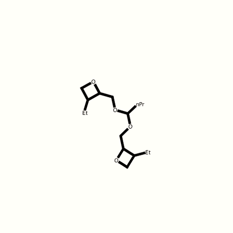 CCCC(OCC1OCC1CC)OCC1OCC1CC